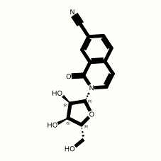 N#Cc1ccc2ccn([C@@H]3O[C@H](CO)[C@@H](O)[C@H]3O)c(=O)c2c1